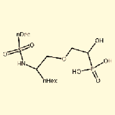 CCCCCCCCCCS(=O)(=O)NC(CCCCCC)COCC(O)P(=O)(O)O